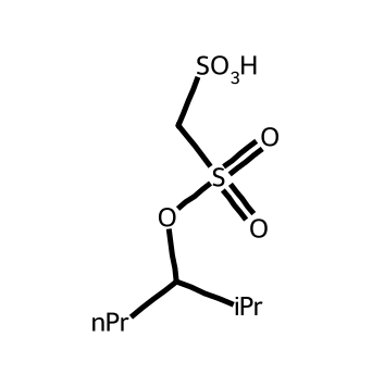 CCCC(OS(=O)(=O)CS(=O)(=O)O)C(C)C